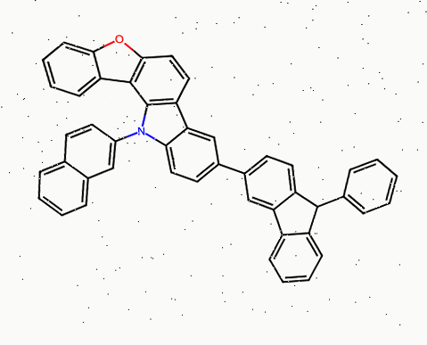 c1ccc(C2c3ccccc3-c3cc(-c4ccc5c(c4)c4ccc6oc7ccccc7c6c4n5-c4ccc5ccccc5c4)ccc32)cc1